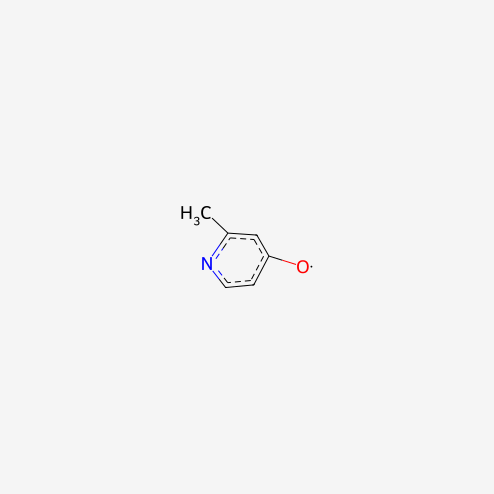 Cc1cc([O])ccn1